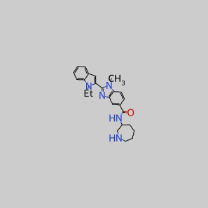 CCn1c(-c2nc3cc(C(=O)NC4CCCCNC4)ccc3n2C)cc2ccccc21